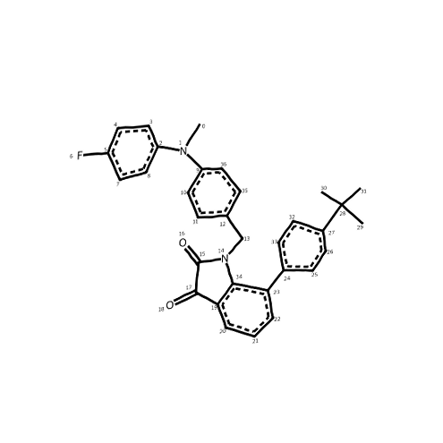 CN(c1ccc(F)cc1)c1ccc(CN2C(=O)C(=O)c3cccc(-c4ccc(C(C)(C)C)cc4)c32)cc1